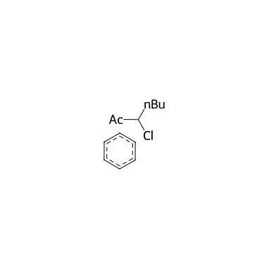 CCCCC(Cl)C(C)=O.c1ccccc1